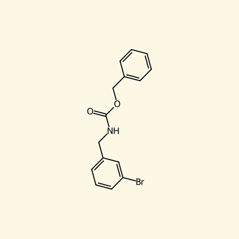 O=C(NCc1cccc(Br)c1)OCc1ccccc1